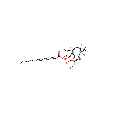 CCCCC/C=C/C=C/C=C/C(=O)O[C@H]1C(C)=C[C@]23C(=O)[C@@H](C=C(CO)[C@@H](O)[C@]12O)[C@H]1[C@@H](C[C@H]3C)C1(C)C